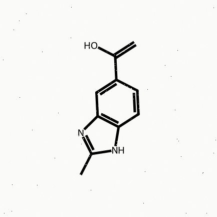 C=C(O)c1ccc2[nH]c(C)nc2c1